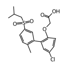 Cc1ccc(S(=O)(=O)CC(C)C)cc1-c1cc(Cl)ccc1OCC(=O)O